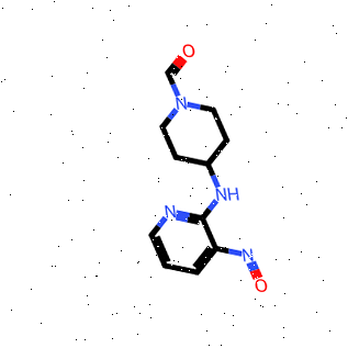 O=CN1CCC(Nc2ncccc2N=O)CC1